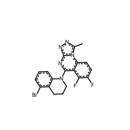 Cc1nnc2nc(N3CCCc4c(Br)cccc43)c3c(F)c(F)ccc3n12